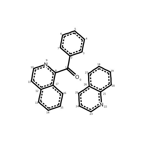 O=C(c1ccccc1)c1nccc2ccccc12.c1ccc2ncccc2c1